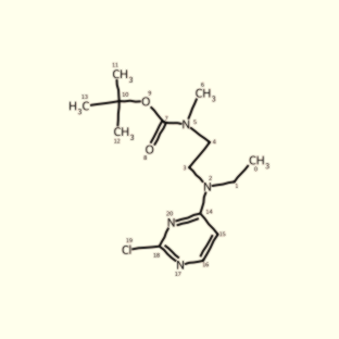 CCN(CCN(C)C(=O)OC(C)(C)C)c1ccnc(Cl)n1